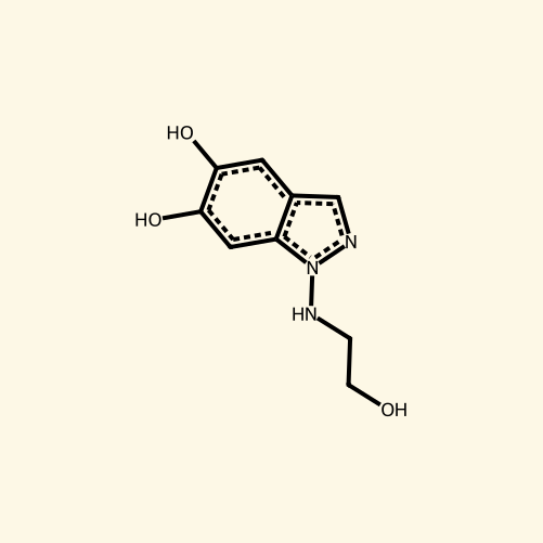 OCCNn1ncc2cc(O)c(O)cc21